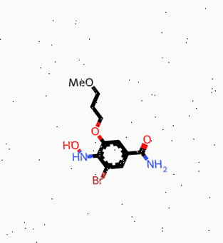 COCCCOc1cc(C(N)=O)cc(Br)c1NO